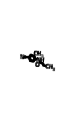 CCCC(=O)Nc1ccc(C#N)cc1C